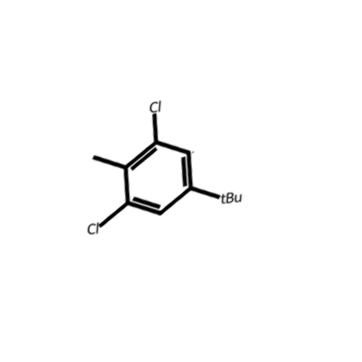 Cc1c(Cl)[c]c(C(C)(C)C)cc1Cl